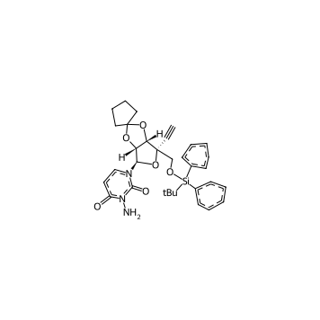 C#C[C@]1(CO[Si](c2ccccc2)(c2ccccc2)C(C)(C)C)O[C@@H](n2ccc(=O)n(N)c2=O)[C@@H]2OC3(CCCC3)O[C@@H]21